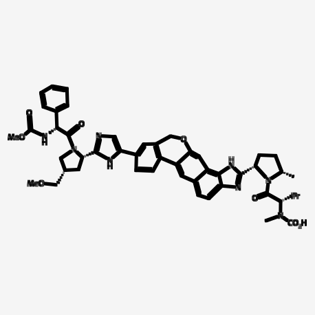 COC[C@H]1C[C@@H](c2ncc(-c3ccc4c(c3)COc3cc5c(ccc6nc([C@@H]7CC[C@H](C)N7C(=O)[C@H](C(C)C)N(C)C(=O)O)[nH]c65)cc3-4)[nH]2)N(C(=O)[C@H](NC(=O)OC)c2ccccc2)C1